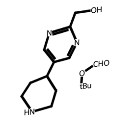 CC(C)(C)OC=O.OCc1ncc(C2CCNCC2)cn1